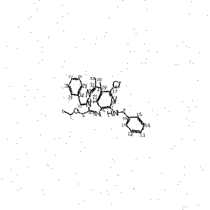 CCOCC1=Nc2c(NCc3ccccc3)nc(Cl)c(C)c2[N+]1(Cc1ccccc1)N=C(C)C